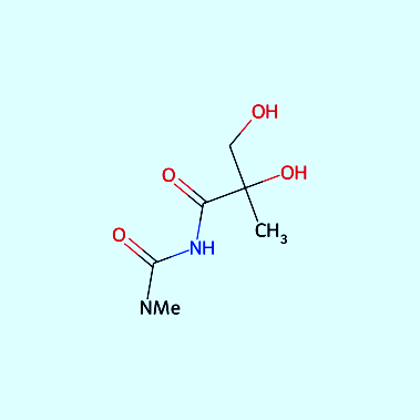 CNC(=O)NC(=O)C(C)(O)CO